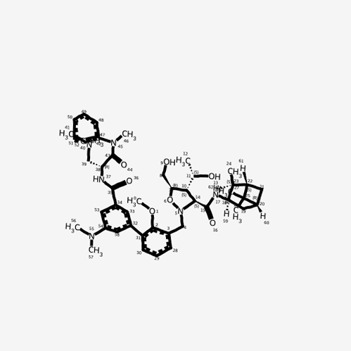 COc1c(CN2O[C@@H](CO)[C@H]([C@H](C)O)[C@H]2C(=O)N[C@@H]2C[C@H]3C[C@@H]([C@@H]2C)C3(C)C)cccc1-c1cc(C(=O)N[C@H](CN(C)C)C(=O)N(C)c2ccccc2)cc(N(C)C)c1